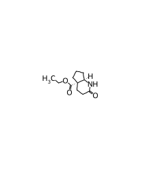 CCOC(=O)[C@]12CCC[C@H]1NC(=O)CC2